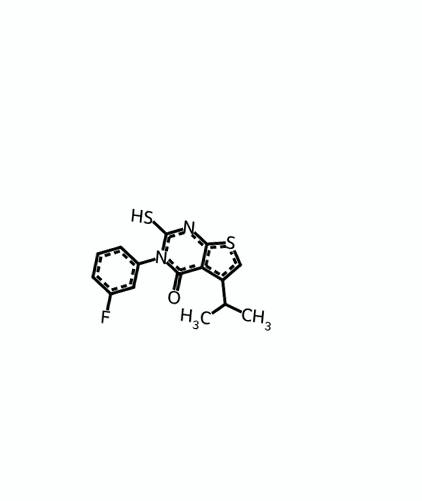 CC(C)c1csc2nc(S)n(-c3cccc(F)c3)c(=O)c12